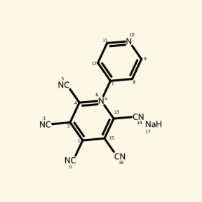 N#Cc1c(C#N)c(C#N)[n+](-c2ccncc2)c(C#N)c1C#N.[NaH]